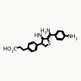 N=C1/C(=C(\N)c2ccc(N)cc2)SCC1c1ccc(CCC(=O)O)cc1